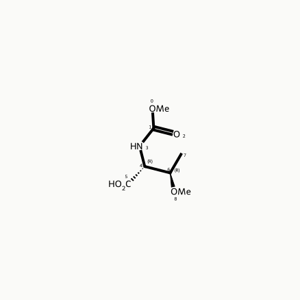 COC(=O)N[C@@H](C(=O)O)[C@@H](C)OC